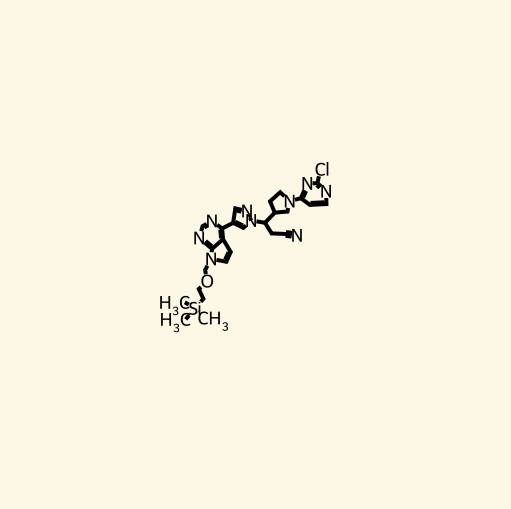 C[Si](C)(C)CCOCn1ccc2c(-c3cnn(C(CC#N)C4CCN(c5ccnc(Cl)n5)C4)c3)ncnc21